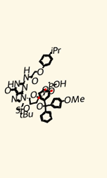 COc1ccc(C(O[C@H]2[C@@H](O[Si](C)(C)C(C)(C)C)[C@H](n3cnc4c(=O)[nH]c(NC(=O)COc5ccc(C(C)C)cc5)nc43)O[C@@H]2COP(C)(=O)O)(c2ccccc2)c2ccccc2)cc1